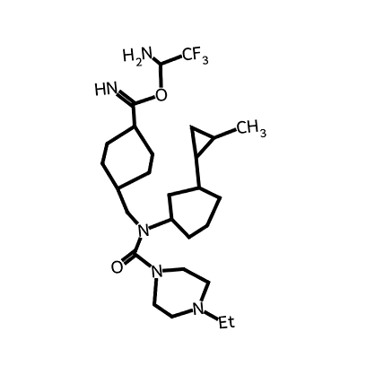 CCN1CCN(C(=O)N(CC2CCC(C(=N)OC(N)C(F)(F)F)CC2)C2CCCC(C3CC3C)C2)CC1